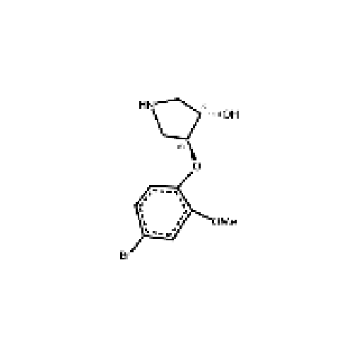 COc1cc(Br)ccc1O[C@H]1CNC[C@@H]1O